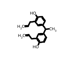 C=CCc1cc(C(C)c2ccc(O)c(CC=C)c2)ccc1O